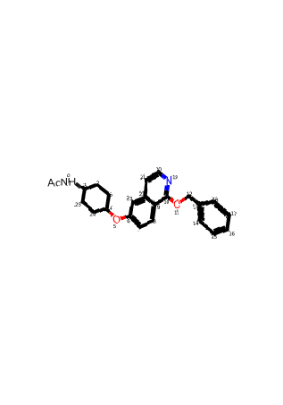 CC(=O)NC1CCC(Oc2ccc3c(OCc4ccccc4)nccc3c2)CC1